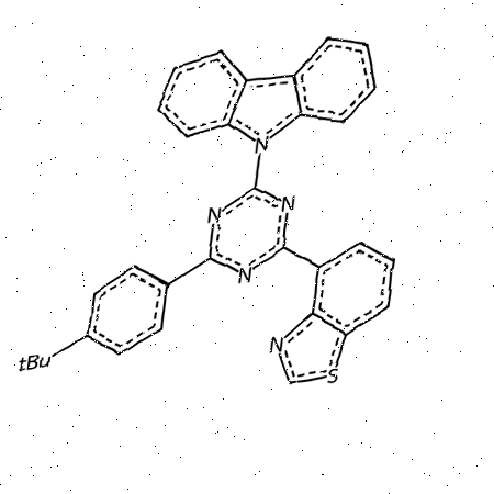 CC(C)(C)c1ccc(-c2nc(-c3cccc4scnc34)nc(-n3c4ccccc4c4ccccc43)n2)cc1